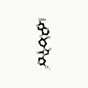 COc1cc2nccc(Oc3ccc(N4C(=O)CN(c5cncc(C(F)(F)F)c5)C4=O)cc3C(C)C)c2cn1